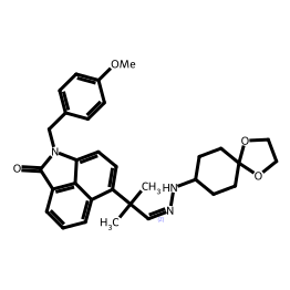 COc1ccc(CN2C(=O)c3cccc4c(C(C)(C)/C=N\NC5CCC6(CC5)OCCO6)ccc2c34)cc1